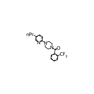 CCCc1ccc(N2CCN(C(=O)c3ccccc3C(F)(F)F)CC2)nc1